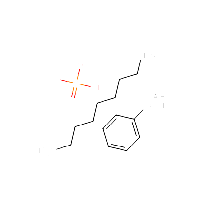 CCCCCCCCCCCCCCCCCC(=O)O.O=C(O)c1ccccc1.O=P(O)(O)O.[AlH3]